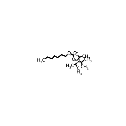 CCCCCCCOC(=O)O[Si](C(C)C)(C(C)C)C(C)C